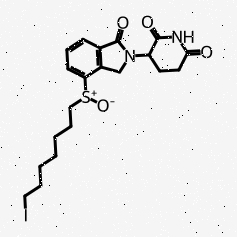 O=C1CCC(N2Cc3c(cccc3[S+]([O-])CCCCCCCI)C2=O)C(=O)N1